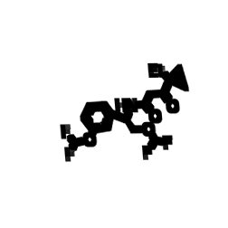 CCC1(C(=O)CC(=O)N[C@@H](COC(F)F)c2cccc(OC(F)F)c2)CC1